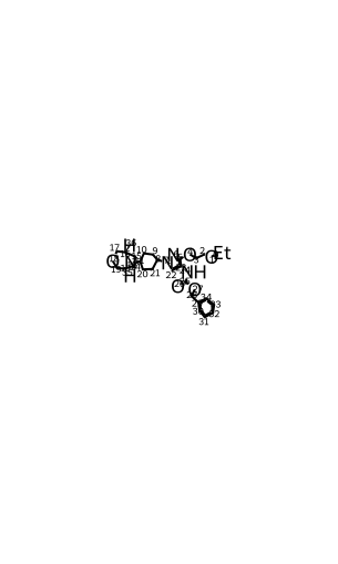 CCOCCOc1nn(C2CCC(N3[C@@H]4CC[C@H]3COC4)CC2)cc1NC(=O)OCc1ccccc1